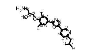 Cc1cc(-c2nnc(-c3ccc(CC(C)C)nc3)o2)cc(C)c1OCC(O)CN